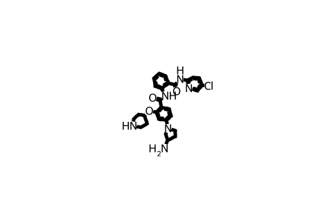 NC1CCN(c2ccc(C(=O)Nc3ccccc3C(=O)Nc3ccc(Cl)cn3)c(OC3CCNCC3)c2)C1